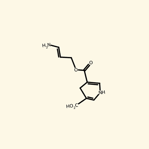 NC=CCOC(=O)C1=CNC=C(C(=O)O)C1